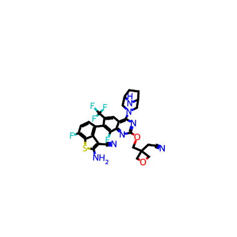 N#CCC1(COc2nc(N3CC4CCC(C3)N4)c3cc(C(F)(F)F)c(-c4ccc(F)c5sc(N)c(C#N)c45)c(F)c3n2)COC1